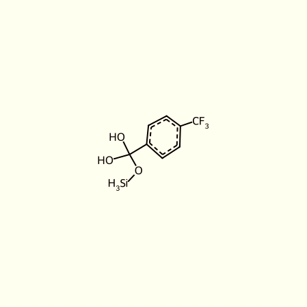 OC(O)(O[SiH3])c1ccc(C(F)(F)F)cc1